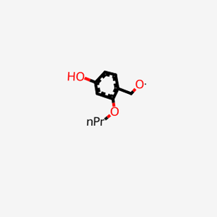 CCCOc1cc(O)ccc1C[O]